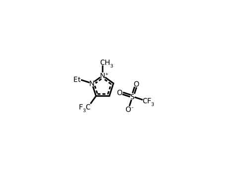 CCn1c(C(F)(F)F)cc[n+]1C.O=S(=O)([O-])C(F)(F)F